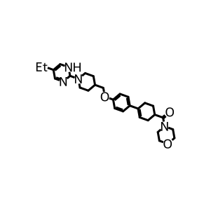 CCC1=CNC(N2CCC(COc3ccc(C4=CCC(C(=O)N5CCOCC5)CC4)cc3)CC2)N=C1